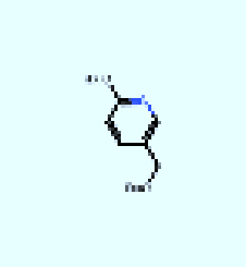 CC(C)COCc1ccc(OCC(C)C)nc1